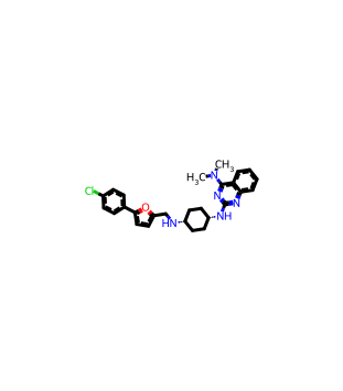 CN(C)c1nc(N[C@H]2CC[C@@H](NCc3ccc(-c4ccc(Cl)cc4)o3)CC2)nc2ccccc12